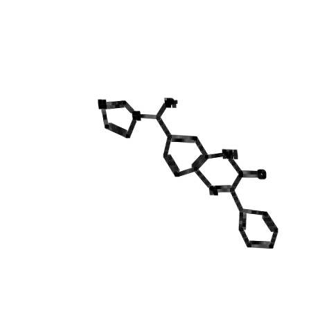 CC(C)C(c1ccc2nc(-c3ccccc3)c(=O)[nH]c2c1)n1ccnc1